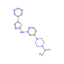 CC(=O)N1CCN(c2ccnc(Nc3ncc(-c4cncnc4)s3)c2)CC1